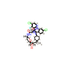 CC12CCC3(CC1)N[C@@H](C(=O)N[C@@H]1CC[C@H](OC1)[C@H](O)C2)[C@H](c1cccc(Cl)c1F)[C@]31C(=O)Nc2cc(Cl)ccc21